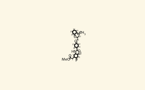 COC(=O)Cc1cc(NC(=O)c2ccc(OC[C@@H]3CN(C)c4ccccc4O3)cc2)c(Cl)cc1F